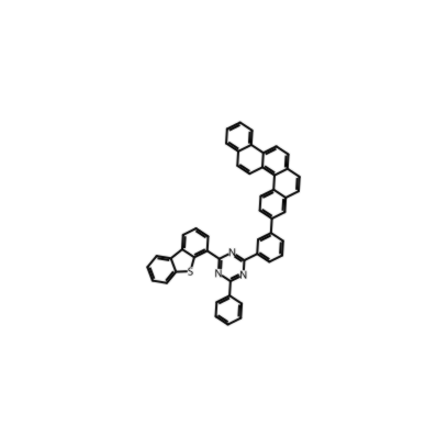 c1ccc(-c2nc(-c3cccc(-c4ccc5c(ccc6ccc7c8ccccc8ccc7c65)c4)c3)nc(-c3cccc4c3sc3ccccc34)n2)cc1